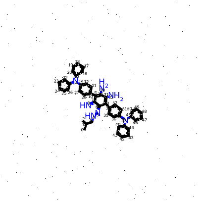 CC(C)CN/N=C1\C(=N)C(c2ccc(N(c3ccccc3)c3ccccc3)cc2)=C(N)C(N)=C1c1ccc(N(c2ccccc2)c2ccccc2)cc1